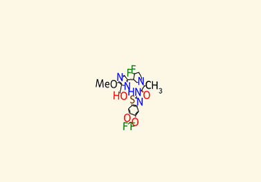 COc1ncc(C2CN([C@@H](C)C(=O)Nc3nc4cc5c(cc4s3)OC(F)(F)O5)CCC2(F)F)nc1CO